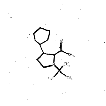 CC(=O)C1C(C2CCCCC2)CCN1C(C)(C)C